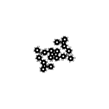 c1ccc(N(c2ccc(-c3cccc4c3-c3ccccc3C43c4ccccc4-c4c(-c5ccc(N(c6ccccc6)c6cccc(-c7ccc8c(c7)c7ccccc7n8-c7ccccc7)c6)cc5)cccc43)cc2)c2cccc(-c3ccc4c(c3)c3ccccc3n4-c3ccccc3)c2)cc1